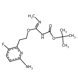 C/N=C(/NC(=O)OC(C)(C)C)OCCc1nc(N)ccc1F